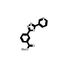 COC(=O)c1cccc(-c2nnc(-c3cccnc3)o2)c1